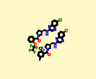 Cc1ccc(C(F)(F)F)c(C(=O)N2CC[C@@H](CNc3cnc4cc(Cl)ccc4n3)C2)c1.O=C(c1ccccc1OC(F)(F)C(F)F)N1CC[C@@H](CNc2cnc3cc(Cl)ccc3n2)C1